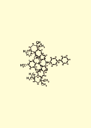 Cc1cc(C)c(B2n3c(nc4cc5c(cc43)C(C)(C)CCC5(C)C)N(c3ccc(-c4ccccc4)cc3)c3nc4cc5c(cc4n32)C(C)(C)CCC5(C)C)c(C)c1